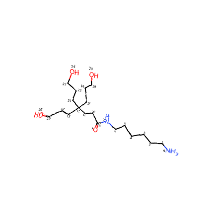 NCCCCCCNC(=O)CCC(CCCO)(CCCO)CCCO